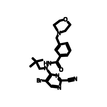 CC(C)(C)CN(NC(=O)c1cccc(CN2CCOCC2)c1)c1nc(C#N)ncc1Br